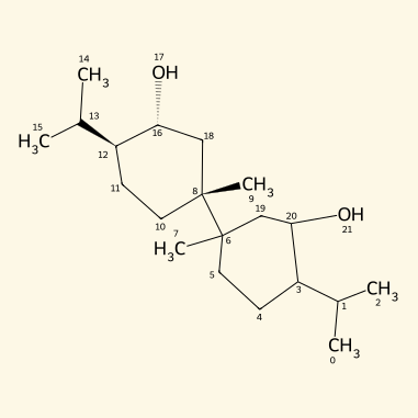 CC(C)C1CCC(C)([C@]2(C)CC[C@@H](C(C)C)[C@H](O)C2)CC1O